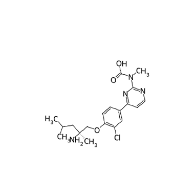 CC(C)C[C@](C)(N)COc1ccc(-c2ccnc(N(C)C(=O)O)n2)cc1Cl